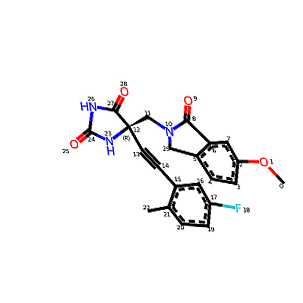 COc1ccc2c(c1)C(=O)N(C[C@@]1(C#Cc3cc(F)ccc3C)NC(=O)NC1=O)C2